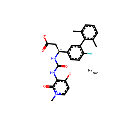 Cc1cccc(C)c1-c1cc([C@H](CC(=O)[O-])NC(=O)Nc2c([O-])ccn(C)c2=O)ccc1F.[Na+].[Na+]